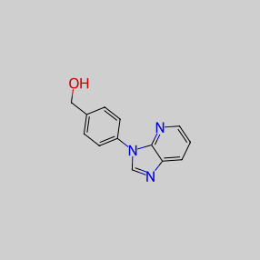 OCc1ccc(-n2cnc3cccnc32)cc1